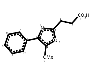 COc1oc(CCC(=O)O)nc1-c1ccccc1